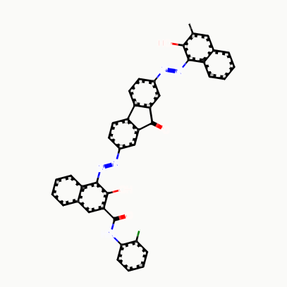 O=Cc1cc2ccccc2c(N=Nc2ccc3c(c2)C(=O)c2cc(N=Nc4c(O)c(C(=O)Nc5ccccc5Cl)cc5ccccc45)ccc2-3)c1O